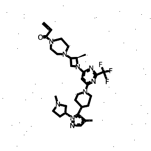 C=CC(=O)N1CCN(C2CN(c3cc(N4CCC(c5c(C)cnn5C5CCN(C)C5)CC4)nc(C(F)(F)F)n3)[C@@H]2C)CC1